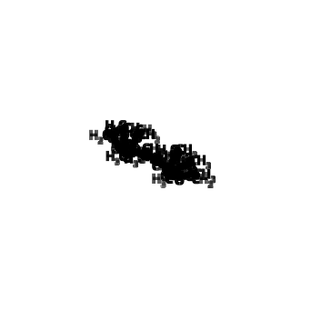 C=C(C)C(=O)OCCNC(=O)OCC(C)(COC(=O)NCCOC(=O)C(=C)C)C(=O)OCC(COc1c(C)cc(-c2cc(C)c(OCC(COC(=O)C(C)(COC(=O)NCCOC(=O)C(=C)C)COC(=O)NCCOC(=O)C(=C)C)OC(=O)NCCOC(=O)C(=C)C)c(C)c2)cc1C)OC(=O)NCCOC(=O)C(=C)C